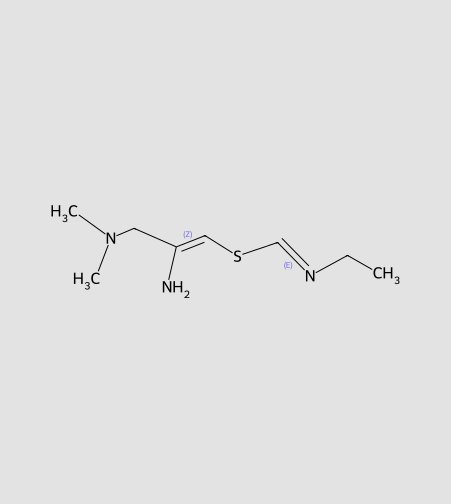 CC/N=C/S/C=C(\N)CN(C)C